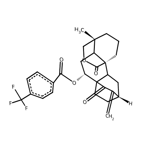 C=C1C(=O)C23CC[C@H]1CC2[C@@]12CCC[C@@](C)(COC1=O)C2C[C@H]3OC(=O)c1ccc(C(F)(F)F)cc1